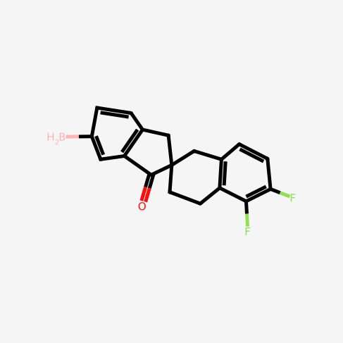 Bc1ccc2c(c1)C(=O)C1(CCc3c(ccc(F)c3F)C1)C2